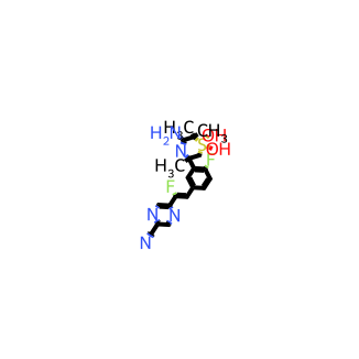 CC1(c2cc(C=C(F)c3cnc(C#N)cn3)ccc2F)CS(O)(O)C(C)(C)C(N)=N1